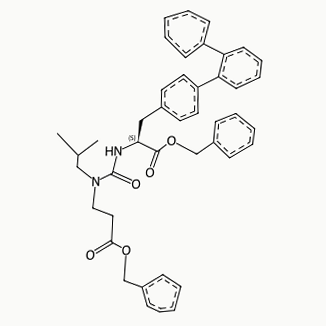 CC(C)CN(CCC(=O)OCc1ccccc1)C(=O)N[C@@H](Cc1ccc(-c2ccccc2-c2ccccc2)cc1)C(=O)OCc1ccccc1